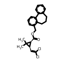 CC1(C)[C@H](C=C(Cl)Cl)[C@@H]1C(=O)OCc1cccc2c1CCCc1ccccc1-2